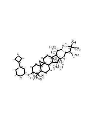 CO[C@@H]([C@H]1C[C@@H](C)[C@H]2[C@H](O1)[C@H](O)[C@@]1(C)C3CC[C@H]4C(C)(C)C(O[C@H]5CN(C6COC6)CCO5)CCC45CC35CCC21C)C(C)(C)O